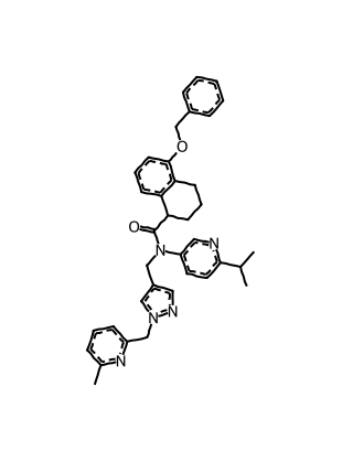 Cc1cccc(Cn2cc(CN(C(=O)C3CCCc4c(OCc5ccccc5)cccc43)c3ccc(C(C)C)nc3)cn2)n1